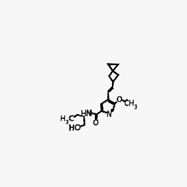 CC[C@H](CO)NC(=O)c1cc(/C=C/C2CC3(CC3)C2)c(OC)cn1